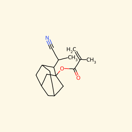 C=C(C)C(=O)OC12CC3CC(CC(C3)C1C(C)C#N)C2